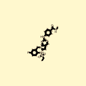 CCS(=O)(=O)Nc1ccc(F)cc1Cn1ccc2cnc(Nc3ccc(C(=O)NC)cc3)nc21